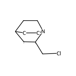 ClC[C]1[CH]C2CCN1CC2